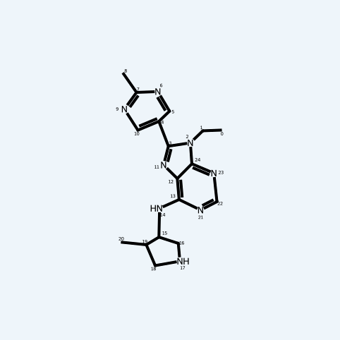 CCn1c(-c2cnc(C)nc2)nc2c(NC3CNCC3C)ncnc21